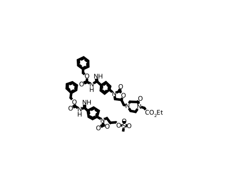 CCOC(=O)CN1CCN(CC2CN(c3ccc(C(=N)NC(=O)OCc4ccccc4)cc3)C(=O)O2)CC1=O.CS(=O)(=O)OCC1CN(c2ccc(C(=N)NC(=O)OCc3ccccc3)cc2)C(=O)O1